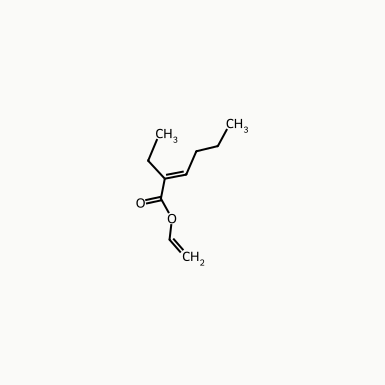 C=COC(=O)C(=CCCC)CC